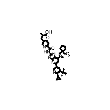 COCC1(CN(C)c2cc(-c3cnc(C4CC4)c(C(F)(F)F)c3)nc3nc(NC(=O)c4ccc(CC(C)C(=O)O)cn4)[nH]c23)CCCC1